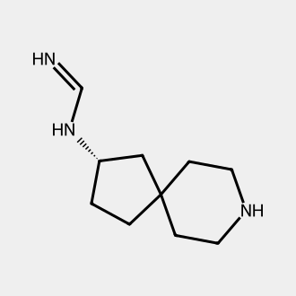 N=CN[C@H]1CCC2(CCNCC2)C1